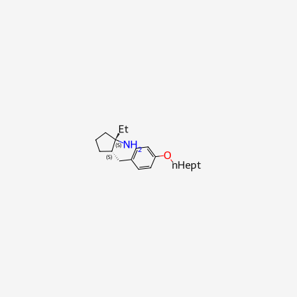 CCCCCCCOc1ccc(C[C@@H]2CCC[C@@]2(N)CC)cc1